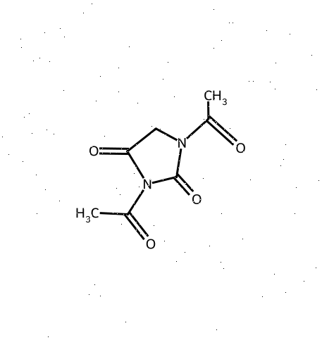 CC(=O)N1CC(=O)N(C(C)=O)C1=O